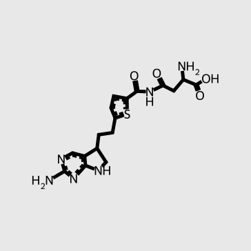 Nc1ncc2c(n1)NCC2CCc1ccc(C(=O)NC(=O)CC(N)C(=O)O)s1